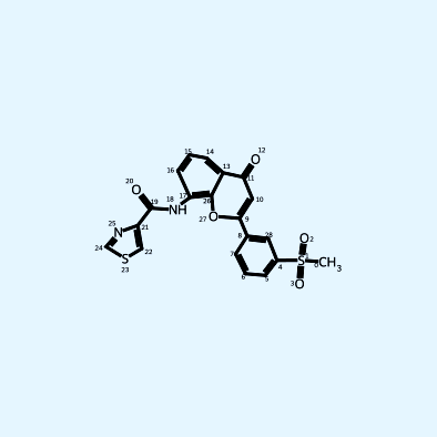 CS(=O)(=O)c1cccc(-c2cc(=O)c3cccc(NC(=O)c4cscn4)c3o2)c1